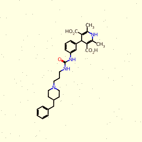 CC1=C(C(=O)O)C(c2cccc(NC(=O)NCCCN3CCC(Cc4ccccc4)CC3)c2)C(C(=O)O)=C(C)N1